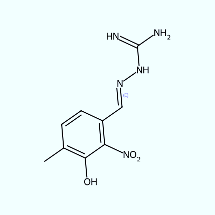 Cc1ccc(/C=N/NC(=N)N)c([N+](=O)[O-])c1O